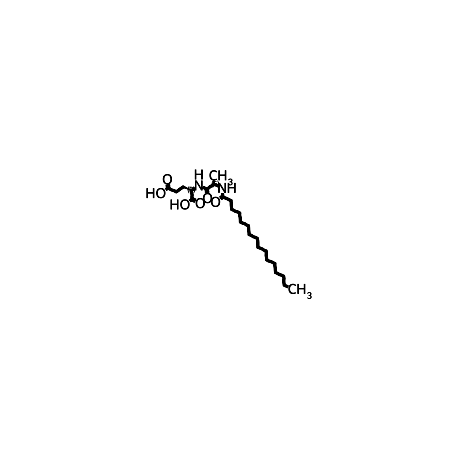 CCCCCCCCCCCCCCCC(=O)N[C@@H](C)C(=O)N[C@H](CCC(=O)O)C(=O)O